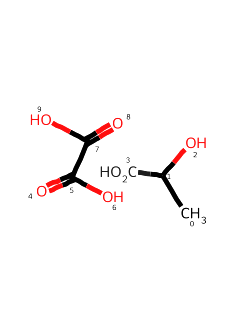 CC(O)C(=O)O.O=C(O)C(=O)O